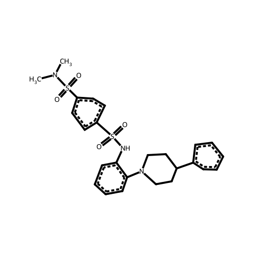 CN(C)S(=O)(=O)c1ccc(S(=O)(=O)Nc2ccccc2N2CCC(c3ccccc3)CC2)cc1